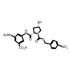 CC(=O)Nc1cc(NC(=O)[C@@H]2C[C@H](S)CN2C(=O)OCc2ccc([N+](=O)[O-])cc2)cc(C(=O)O)c1